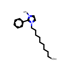 CCCCCCCCCCCCCCCCCCC[n+]1ccn(CCC)c1-c1ccccc1